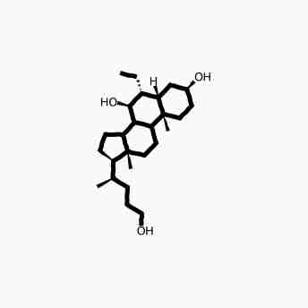 CC[C@H]1[C@H](O)C2C3CC[C@H]([C@H](C)CCCO)[C@@]3(C)CCC2[C@@]2(C)CC[C@H](O)C[C@@H]12